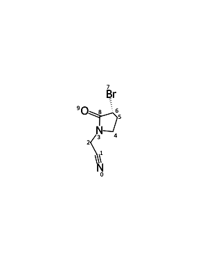 N#CCN1CC[C@@H](Br)C1=O